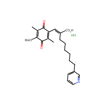 COC1=C(C)C(=O)C(C=C(CCCCCCc2cccnc2)C(=O)O)=C(C)C1=O.Cl